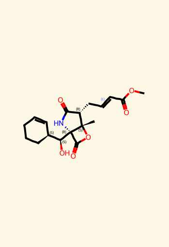 COC(=O)/C=C/C[C@H]1C(=O)N[C@@]2([C@@H](O)[C@@H]3C=CCCC3)C(=O)O[C@@]12C